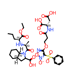 CCC[C@H](N[C@@H](C)C(=O)N1C(C(=O)O)C[C@@H]2CCCC[C@@H]21)C(=O)OCC.O=C(O)C[C@H](NC(=O)CCOc1no[n+]([O-])c1S(=O)(=O)c1ccccc1)C(=O)O